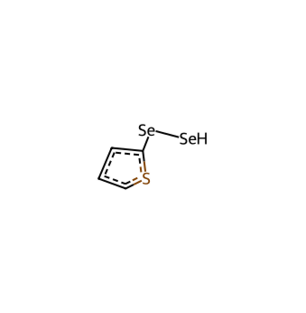 [SeH][Se]c1cccs1